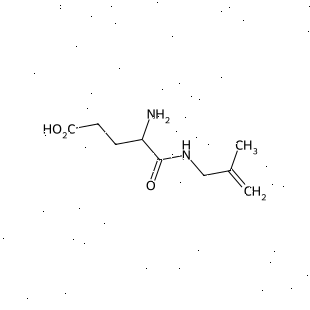 C=C(C)CNC(=O)C(N)CCC(=O)O